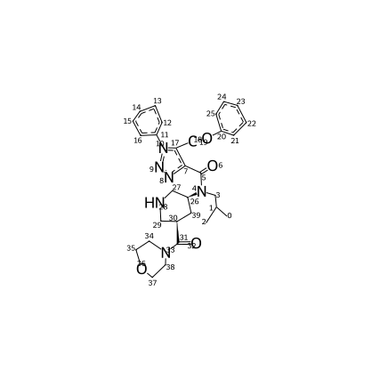 CC(C)CN(C(=O)c1nnn(-c2ccccc2)c1COc1ccccc1)[C@@H]1CNC[C@H](C(=O)N2CCOCC2)C1